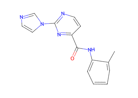 Cc1ccccc1NC(=O)c1ccnc(-n2ccnc2)n1